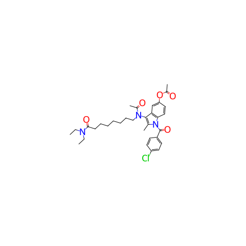 CCN(CC)C(=O)CCCCCCCN(C(C)=O)c1c(C)n(C(=O)c2ccc(Cl)cc2)c2ccc(OC(C)=O)cc12